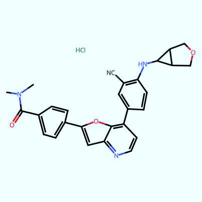 CN(C)C(=O)c1ccc(-c2cc3nccc(-c4ccc(NC5C6COCC65)c(C#N)c4)c3o2)cc1.Cl